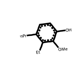 CC[C]c1ccc(O)c(OC)c1CC